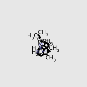 C=C(/N=C(/C)C1C(C)C=C(C)C1(C1=C(/C)C(CC)C=C/C=C/C=C\1)C1CC1)OCC(C)C